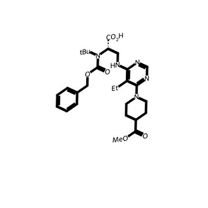 CCc1c(NC[C@@H](C(=O)O)N(C(=O)OCc2ccccc2)C(C)(C)C)ncnc1N1CCC(C(=O)OC)CC1